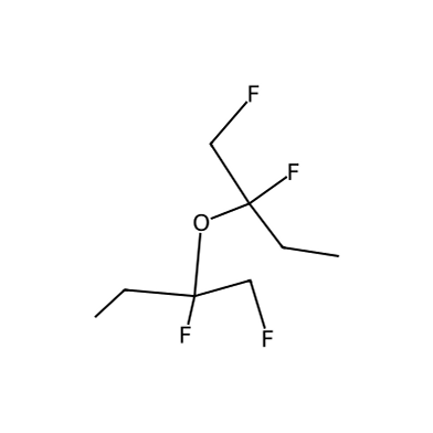 CCC(F)(CF)OC(F)(CC)CF